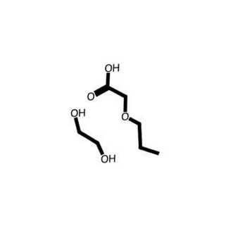 CCCOCC(=O)O.OCCO